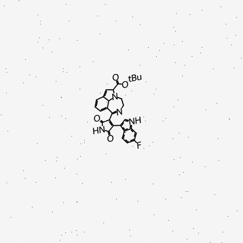 CC(C)(C)OC(=O)C1C=C2C=CC=C3C(C4=C(c5c[nH]c6cc(F)ccc56)C(=O)NC4=O)=NCCN1C23